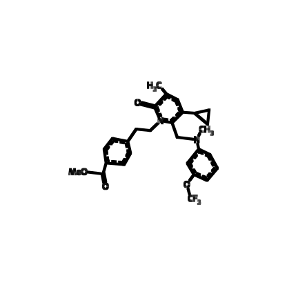 COC(=O)c1ccc(CCn2c(CN(C)c3cccc(OC(F)(F)F)c3)c(C3CC3)cc(C)c2=O)cc1